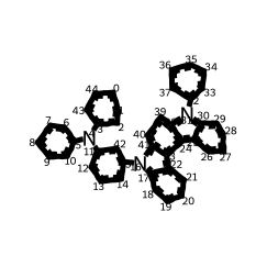 c1ccc(N(c2ccccc2)c2cccc(-n3c4ccccc4c4c5c6ccccc6n(-c6ccccc6)c5ccc43)c2)cc1